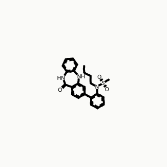 CCCCN(c1ccccc1-c1ccc2c(c1)Nc1ccccc1NC2=O)S(C)(=O)=O